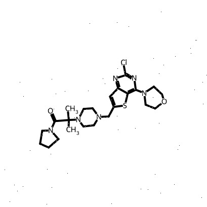 CC(C)(C(=O)N1CCCC1)N1CCN(Cc2cc3nc(Cl)nc(N4CCOCC4)c3s2)CC1